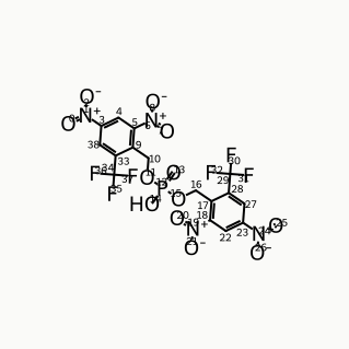 O=[N+]([O-])c1cc([N+](=O)[O-])c(COP(=O)(O)OCc2c([N+](=O)[O-])cc([N+](=O)[O-])cc2C(F)(F)F)c(C(F)(F)F)c1